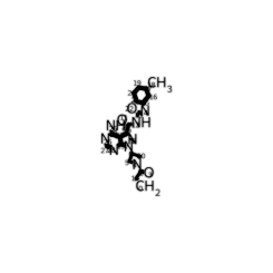 C=CC(=O)N1CC(n2nc(C(=O)Nc3nc4cc(C)ccc4o3)c3c(N)ncnc32)C1